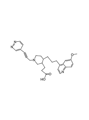 COc1ccc2nccc(CCCC3CCN(CC#Cc4ccnnc4)CC3CCC(=O)O)c2c1